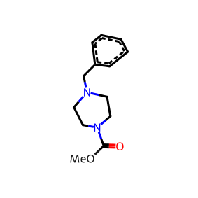 COC(=O)N1CCN(Cc2ccccc2)CC1